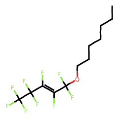 CCCCCCCOC(F)(F)C(F)=C(F)C(F)(F)C(F)(F)F